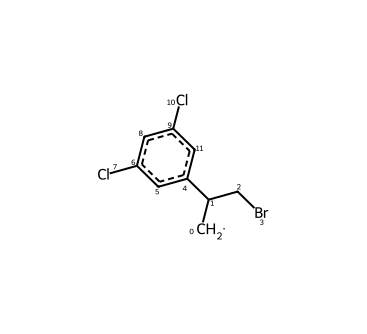 [CH2]C(CBr)c1cc(Cl)cc(Cl)c1